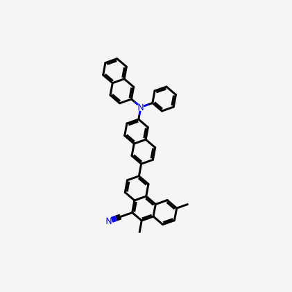 Cc1ccc2c(C)c(C#N)c3ccc(-c4ccc5cc(N(c6ccccc6)c6ccc7ccccc7c6)ccc5c4)cc3c2c1